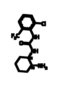 N[C@@H]1CCCC[C@H]1NC(=O)Nc1c(Cl)cccc1C(F)(F)F